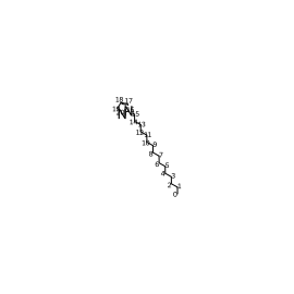 CCCCCCCCCCCCCCCCn1cccn1